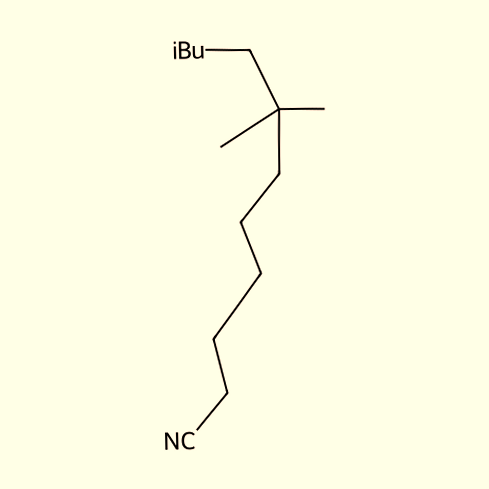 CCC(C)CC(C)(C)CCCCCC#N